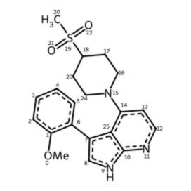 COc1ccccc1-c1c[nH]c2nccc(N3CCC(S(C)(=O)=O)CC3)c12